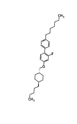 CCCCCCCc1ccc(-c2ccc(OC[C@H]3CC[C@H](CCCCC)CC3)cc2F)cc1